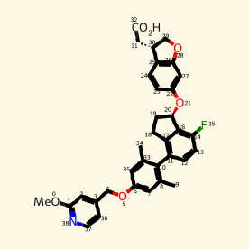 COc1cc(COc2cc(C)c(-c3ccc(F)c4c3CC[C@H]4Oc3ccc4c(c3)OC[C@H]4CC(=O)O)c(C)c2)ccn1